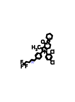 Cc1c2c(n(-c3ccc(Cl)cc3Cl)c1-c1ccc(/C=C/CCC(F)(F)F)cc1)CCN(N1CCCCC1)C2=O